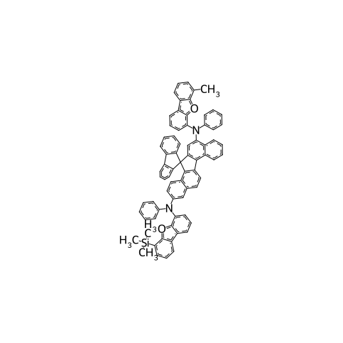 Cc1cccc2c1oc1c(N(c3ccccc3)c3cc4c(c5ccccc35)-c3ccc5cc(N(c6ccccc6)c6cccc7c6oc6c([Si](C)(C)C)cccc67)ccc5c3C43c4ccccc4-c4ccccc43)cccc12